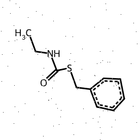 CCNC(=O)SCc1ccccc1